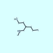 CCCC(CCO)CNC